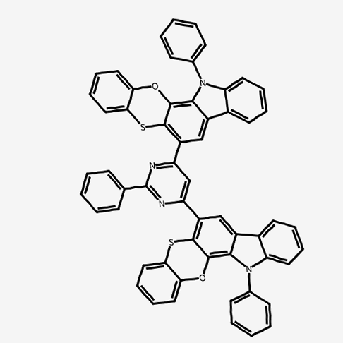 c1ccc(-c2nc(-c3cc4c5ccccc5n(-c5ccccc5)c4c4c3Sc3ccccc3O4)cc(-c3cc4c5ccccc5n(-c5ccccc5)c4c4c3Sc3ccccc3O4)n2)cc1